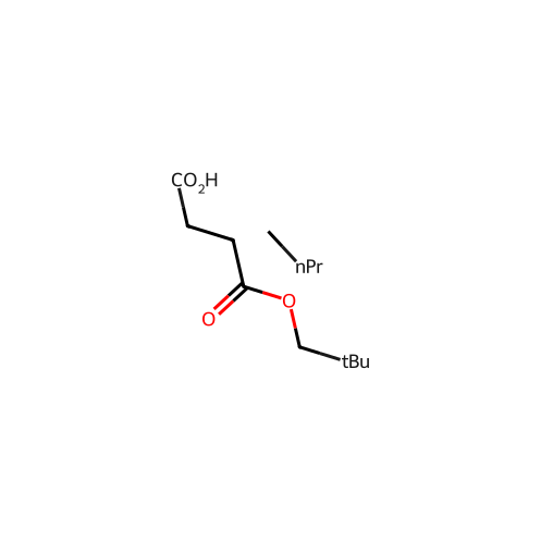 CC(C)(C)COC(=O)CCC(=O)O.CCCC